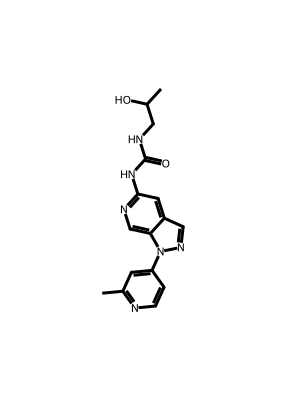 Cc1cc(-n2ncc3cc(NC(=O)NCC(C)O)ncc32)ccn1